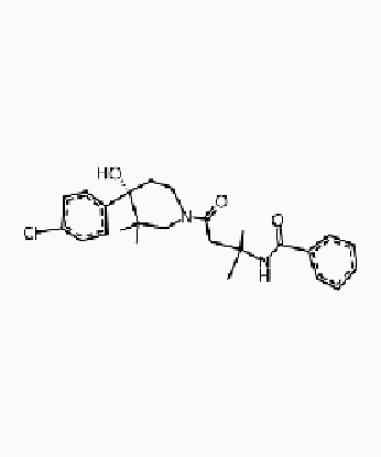 CC(C)(CC(=O)N1CC[C@](O)(c2ccc(Cl)cc2)C(C)(C)C1)NC(=O)c1ccccc1